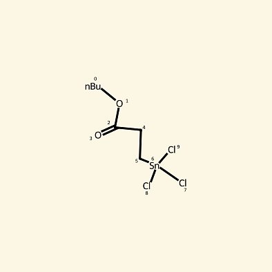 CCCCOC(=O)C[CH2][Sn]([Cl])([Cl])[Cl]